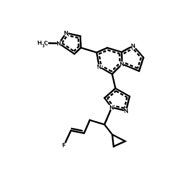 Cn1cc(-c2cc3nccn3c(-c3cnn(C(CC=CF)C4CC4)c3)n2)cn1